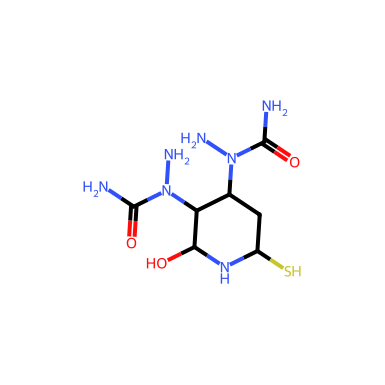 NC(=O)N(N)C1CC(S)NC(O)C1N(N)C(N)=O